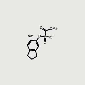 COC(=O)P(=O)([O-])Oc1ccc2c(c1)CCC2.[Na+]